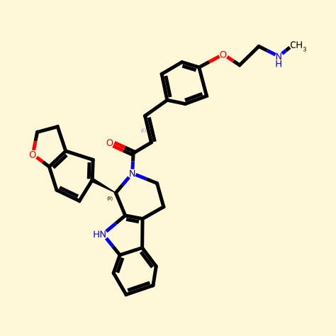 CNCCOc1ccc(/C=C/C(=O)N2CCc3c([nH]c4ccccc34)[C@H]2c2ccc3c(c2)CCO3)cc1